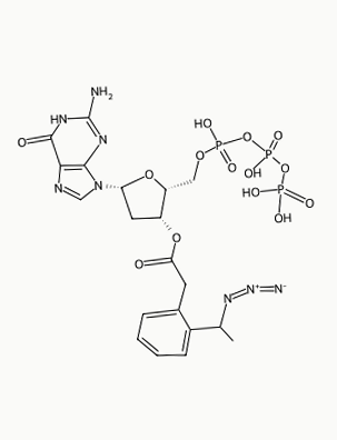 CC(N=[N+]=[N-])c1ccccc1CC(=O)O[C@@H]1C[C@H](n2cnc3c(=O)[nH]c(N)nc32)O[C@@H]1COP(=O)(O)OP(=O)(O)OP(=O)(O)O